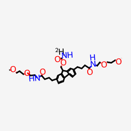 [2H]NC(=O)OCC1c2cc(CCCC(=O)NCCOCCCOC)ccc2-c2ccc(CCCC(=O)NCCOCCCOC)cc21